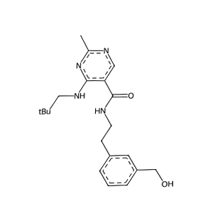 Cc1ncc(C(=O)NCCc2cccc(CO)c2)c(NCC(C)(C)C)n1